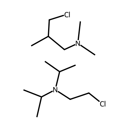 CC(C)N(CCCl)C(C)C.CC(CCl)CN(C)C